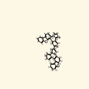 c1ccc2c(c1)oc1c2ccc2c1c1cc(-c3cn4c5ccc6oc7ccccc7c6c5c5ccncc5c4n3)ncc1c1nccn21